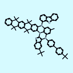 Cc1cc2c3c(c1)N(c1cccc4c1oc1ccccc14)c1cc4c(cc1B3c1sc3ccc(C(C)(C)C)cc3c1N2c1ccc(-c2ccc(C(C)(C)C)cc2)cc1)C(C)(C)c1cc2c(cc1C4(C)C)C(C)(C)c1ccccc1C2(C)C